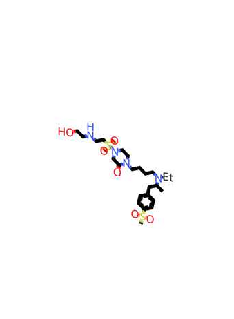 CCN(CCCCN1CCN(S(=O)(=O)CCNCCO)CC1=O)C(C)Cc1ccc(S(C)(=O)=O)cc1